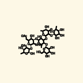 CC(=O)NC1[C@H](OC2C(OC(C)=O)[C@@H](O)C(C)O[C@H]2O)OC(COC(C)=O)[C@@H](O)[C@@H]1O[C@@H]1OC(C)[C@H](O[C@H]2OC(CO)[C@@H](O)C(O)C2O)C(O[C@@H]2OC(C)[C@H](O)C(O)C2O[C@@H]2OC(C)[C@H](O)C(O)C2O)C1O